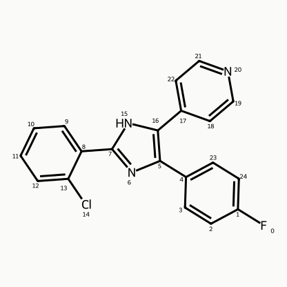 Fc1ccc(-c2nc(-c3ccccc3Cl)[nH]c2-c2ccncc2)cc1